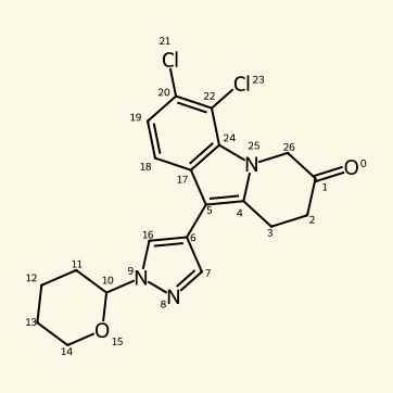 O=C1CCc2c(-c3cnn(C4CCCCO4)c3)c3ccc(Cl)c(Cl)c3n2C1